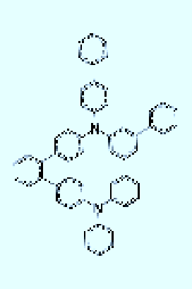 c1ccc(-c2ccc(N(c3ccc(-c4ccccc4-c4ccc(N(c5ccccc5)c5ccccc5)cc4)cc3)c3cccc(-c4ccccc4)c3)cc2)cc1